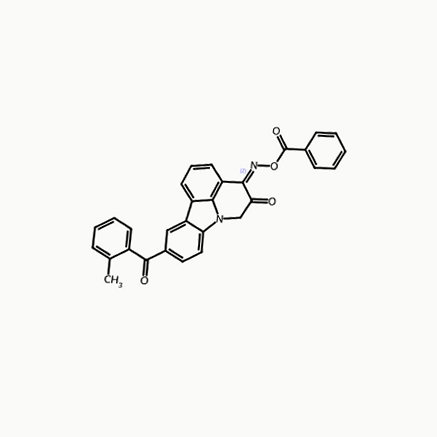 Cc1ccccc1C(=O)c1ccc2c(c1)c1cccc3c1n2CC(=O)/C3=N\OC(=O)c1ccccc1